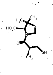 C[C@H](CS)C(=O)N1CSC(C)(C)[C@@H]1C(=O)O